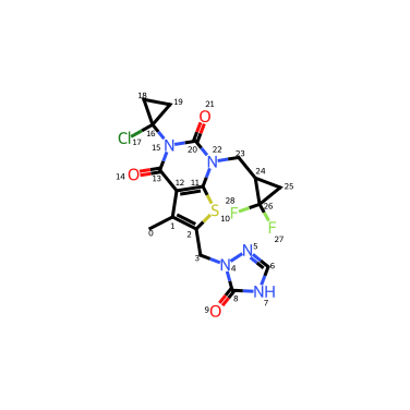 Cc1c(Cn2nc[nH]c2=O)sc2c1c(=O)n(C1(Cl)CC1)c(=O)n2CC1CC1(F)F